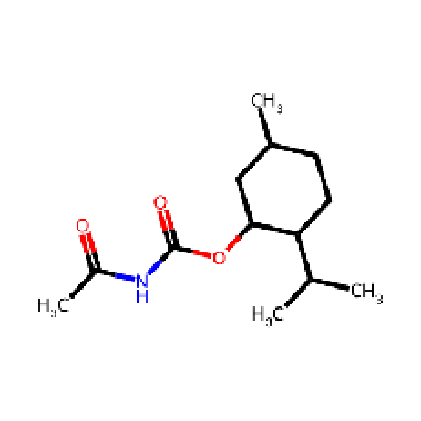 CC(=O)NC(=O)OC1CC(C)CCC1C(C)C